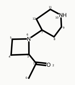 CC(=O)C1CCN1C1CCNCC1